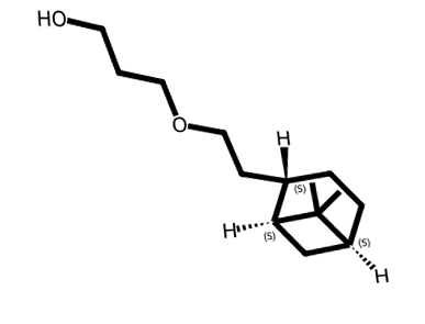 CC1(C)[C@H]2CC[C@@H](CCOCCCO)[C@@H]1C2